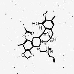 C=CCNC[C@H]1c2c(c(OC(C)=O)c(C)c3c2OCO3)CC2[C@H]3c4c(cc(C)c(OC)c4O)C[C@@H]([C@H](C#N)N21)N3C